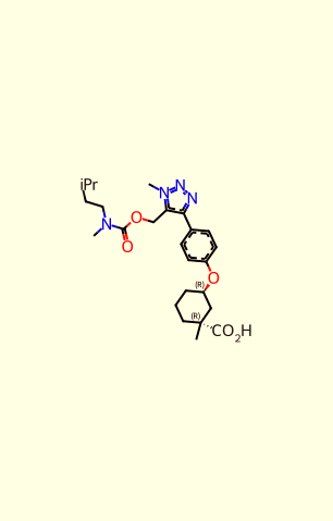 CC(C)CCN(C)C(=O)OCc1c(-c2ccc(O[C@@H]3CCC[C@@](C)(C(=O)O)C3)cc2)nnn1C